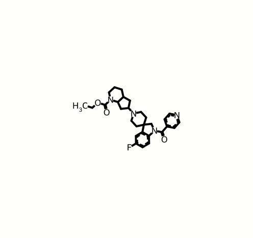 CCOC(=O)N1CCCC2CC(N3CCC4(CC3)CN(C(=O)c3ccncc3)c3ccc(F)cc34)CC21